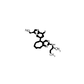 CC[C@H](C)Nc1ncc2c(n1)CCCC=C2c1cc(F)c2ncc(CO)n2c1